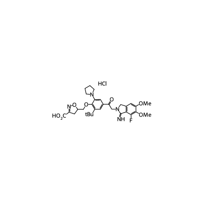 COc1cc2c(c(F)c1OC)C(=N)N(CC(=O)c1cc(N3CCCC3)c(OCC3CC(C(=O)O)=NO3)c(C(C)(C)C)c1)C2.Cl